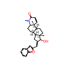 CN1C(=O)C=C[C@@]2(C)C1CC[C@@H]1[C@H]2CC[C@]2(C)C(O)C(=Cc3cc4ccccc4o3)C[C@@H]12